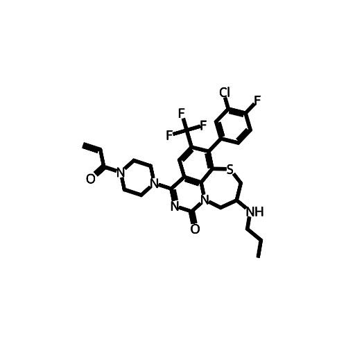 C=CC(=O)N1CCN(c2nc(=O)n3c4c(c(-c5ccc(F)c(Cl)c5)c(C(F)(F)F)cc24)SCC(NCCC)C3)CC1